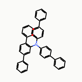 c1ccc(-c2ccc(N(c3ccc(-c4ccccc4)cc3)c3cc(-c4ccccc4)ccc3-c3ccccc3)cc2)cc1